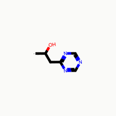 [CH2]C(O)Cc1ncncn1